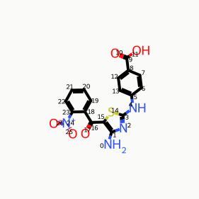 Nc1nc(Nc2ccc(C(=O)O)cc2)sc1C(=O)c1ccccc1[N+](=O)[O-]